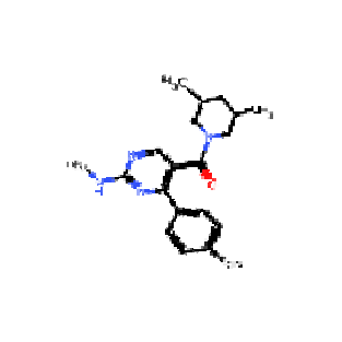 CCCCNc1ncc(C(=O)N2CC(C)CC(C)C2)c(-c2ccc(C#N)cc2)n1